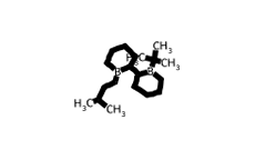 CC(C)CCB1CCCCC1C1CCCCB1C(C)(C)C